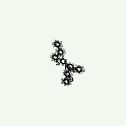 C1=CC(c2ccc3c(c2)sc2cccc(-c4cccc(-c5ccccc5)c4)c23)=NC(c2ccc3c(c2)oc2ccccc23)=NC=1c1ccccc1